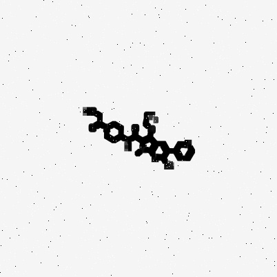 CCc1nc2c(cc1-c1cccnc1)c(OCC(F)(F)F)c(C(=O)NC1CCN(C(=O)CO)CC1)n2C